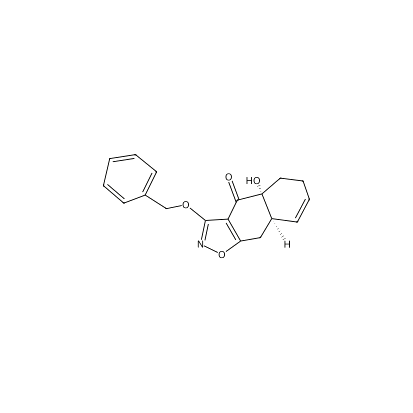 O=C1c2c(OCc3ccccc3)noc2C[C@@H]2C=CCC[C@]12O